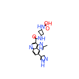 CC(C)Nc1c(C(=O)NC2CC(NC(=O)O)C2)cnc2ccc(-c3cn[nH]c3)cc12